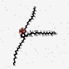 CCCCCCCCCCCCCCCCCc1ccc(S(=O)(=O)[O-])c(CCCCCCCCCCCCCCCCC)c1CCCCCCCCCCCCCCCCC.[Na+]